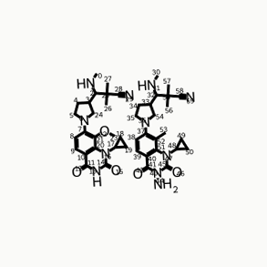 CNC(C1CCN(c2ccc3c(=O)[nH]c(=O)n(C4CC4)c3c2OC)C1)C(C)(C)C#N.CNC(C1CCN(c2ccc3c(=O)n(N)c(=O)n(C4CC4)c3c2C)C1)C(C)(C)C#N